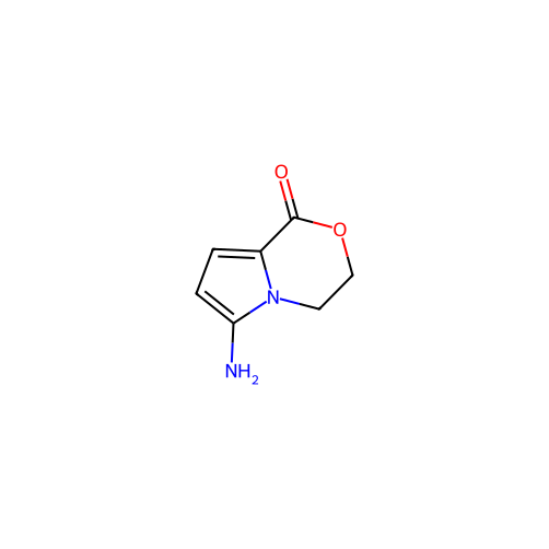 Nc1ccc2n1CCOC2=O